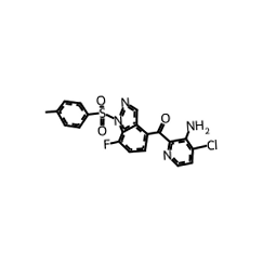 Cc1ccc(S(=O)(=O)n2ncc3c(C(=O)c4nccc(Cl)c4N)ccc(F)c32)cc1